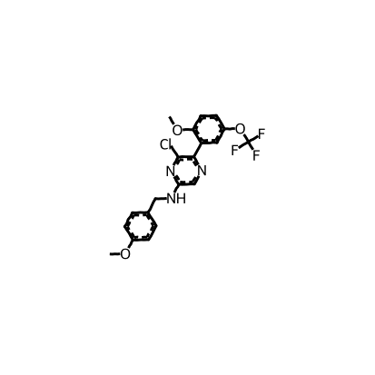 COc1ccc(CNc2cnc(-c3cc(OC(F)(F)F)ccc3OC)c(Cl)n2)cc1